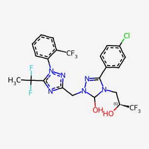 CC(F)(F)c1nc(CN2N=C(c3ccc(Cl)cc3)N(C[C@H](O)C(F)(F)F)C2O)nn1-c1ccccc1C(F)(F)F